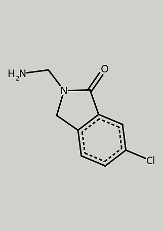 NCN1Cc2ccc(Cl)cc2C1=O